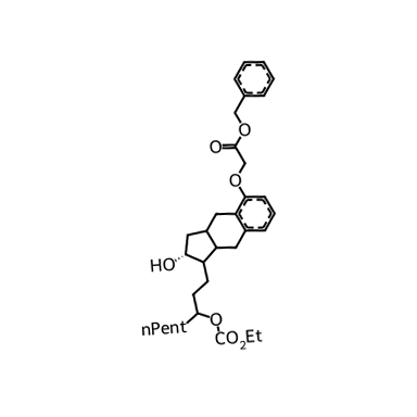 CCCCCC(CCC1C2Cc3cccc(OCC(=O)OCc4ccccc4)c3CC2C[C@H]1O)OC(=O)OCC